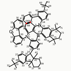 Cc1cc2c3c(c1)N(c1cccc4oc5ccccc5c14)c1cc(C4c5ccc(C(C)(C)C)cc5C5(C)CCCCC45C)ccc1B3c1cc3c(cc1N2c1ccc(C(C)(C)C)cc1-c1ccccc1)C(C)(C)CCC3(C)C